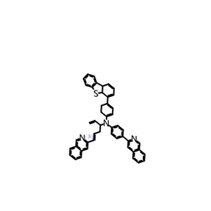 C=CC(C/C=C/c1cc2ccccc2cn1)N(C1=CC=C(C2=CC=CC3c4ccccc4SC23)CC1)c1ccc(-c2cc3ccccc3cn2)cc1